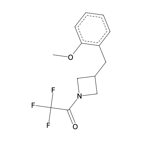 COc1ccccc1CC1CN(C(=O)C(F)(F)F)C1